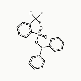 O=S(=O)(O[I+](c1ccccc1)c1ccccc1)c1ccccc1C(F)(F)F